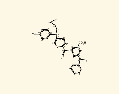 CN(c1ccccc1)c1cc(C(=O)O)cc(C(=O)c2ccc(N(CC3CC3)c3ccc(Cl)cc3)cn2)c1